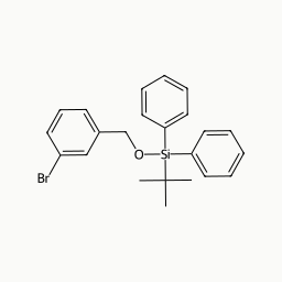 CC(C)(C)[Si](OCc1cccc(Br)c1)(c1ccccc1)c1ccccc1